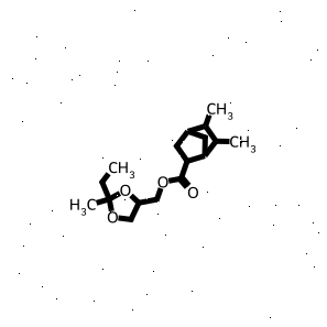 CCC1(C)OCC(COC(=O)C2CC3CC2C(C)C3C)O1